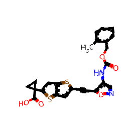 Cc1ccccc1COC(=O)Nc1cnoc1C#Cc1cc2sc(C3(C(=O)O)CC3)cc2s1